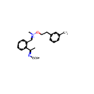 CO/N=C(\C)c1ccccc1/C=[N+](\C)OCCc1cccc(C(F)(F)F)c1